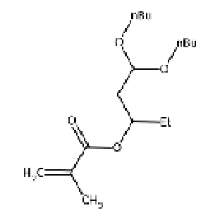 C=C(C)C(=O)OC(CC)CC(OCCCC)OCCCC